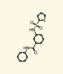 O=C(Nc1ccccc1)c1cccc(NS(=O)(=O)c2cccs2)c1